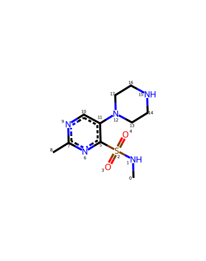 CNS(=O)(=O)c1nc(C)ncc1N1CCNCC1